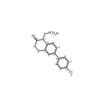 O=C(O)CN1C(=O)CCc2cc(-c3ccc(Cl)cc3)ccc21